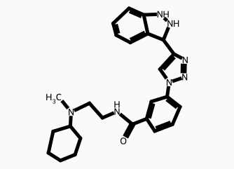 CN(CCNC(=O)c1cccc(-n2cc(C3NNc4ccccc43)nn2)c1)C1CCCCC1